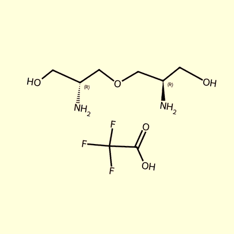 N[C@H](CO)COC[C@H](N)CO.O=C(O)C(F)(F)F